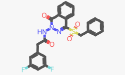 O=C(Cc1cc(F)cc(F)c1)Nn1nc(S(=O)(=O)Cc2ccccc2)c2ccccc2c1=O